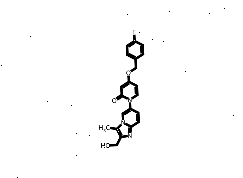 Cc1c(CO)nc2ccc(-n3ccc(OCc4ccc(F)cc4)cc3=O)cn12